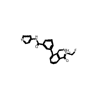 NCc1c(C(=O)SCF)cccc1-c1cccc(C(=O)Nc2ccncc2)c1